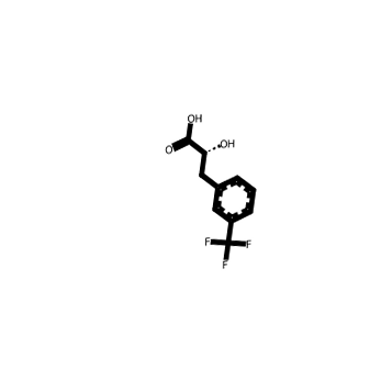 O=C(O)[C@H](O)Cc1cccc(C(F)(F)F)c1